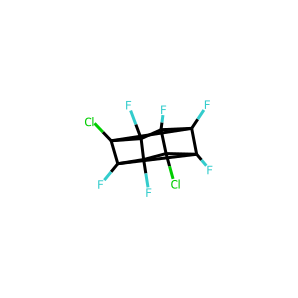 FC12C3(F)C4(F)C5(F)C(F)(C1(F)C35Cl)C24Cl